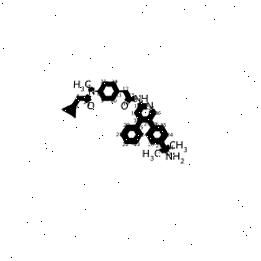 CN(C(=O)CC1CC1)[C@H]1CC[C@H](CC(=O)Nc2cc(-c3ccccc3)c(-c3ccc(C(C)(C)N)cc3)cn2)CC1